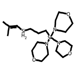 CC(C)=C[SiH2]CCC[Si](N1CCOCC1)(N1CCOCC1)N1CCOCC1